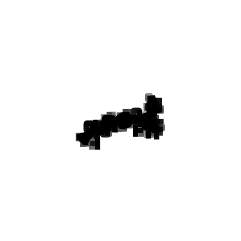 Cc1cn(-c2cc(NC(=O)c3ccc(-c4ccc5nc(NC(=O)C6CC6)sc5n4)cc3)cc(C(F)(F)F)c2)cn1